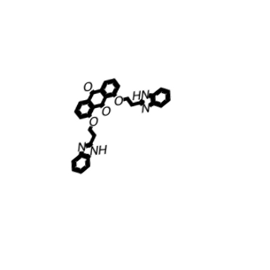 O=C1c2cccc(OCCc3nc4ccccc4[nH]3)c2C(=O)c2c(OCCc3nc4ccccc4[nH]3)cccc21